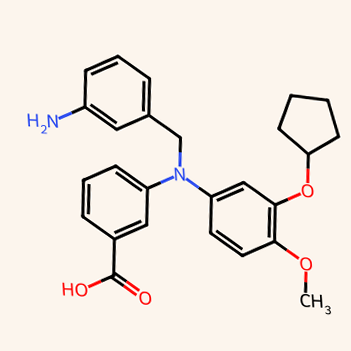 COc1ccc(N(Cc2cccc(N)c2)c2cccc(C(=O)O)c2)cc1OC1CCCC1